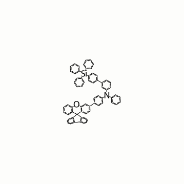 c1ccc(N(c2ccc(-c3ccc4c(c3)Oc3ccccc3C43c4ccccc4-c4ccccc43)cc2)c2cccc(-c3ccc([Si](c4ccccc4)(c4ccccc4)c4ccccc4)cc3)c2)cc1